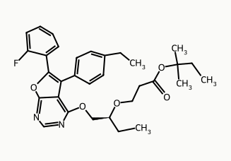 CCc1ccc(-c2c(-c3ccccc3F)oc3ncnc(OC[C@H](CC)OCCC(=O)OC(C)(C)CC)c23)cc1